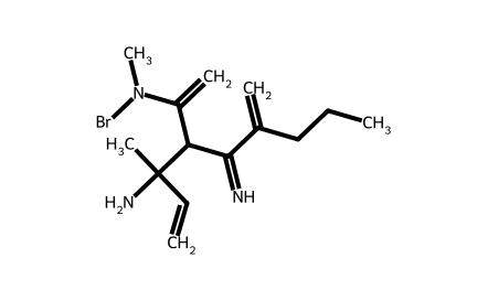 C=CC(C)(N)C(C(=C)N(C)Br)C(=N)C(=C)CCC